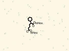 CCCCCCOC(=O)CCCC(C(=O)OCCCCCC)C1CCCCC1